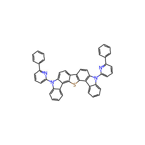 c1ccc(-c2cccc(-n3c4ccccc4c4c5sc6c(ccc7c6c6ccccc6n7-c6cccc(-c7ccccc7)n6)c5ccc43)n2)cc1